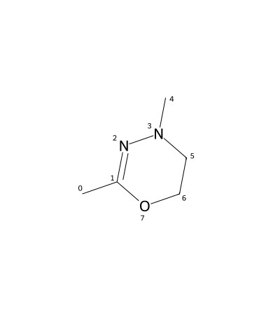 CC1=NN(C)CCO1